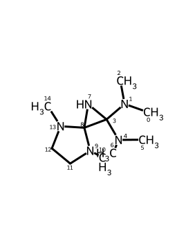 CN(C)C1(N(C)C)NC12N(C)CCN2C